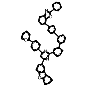 c1ccc(-c2ccc(-c3cc(-c4ccc5oc6ccccc6c5c4)nc(-c4cccc(-c5cccc(-c6ccc(-c7cccc8nc(-c9ccccc9)oc78)cc6)c5)c4)n3)cc2)cc1